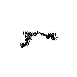 CN(CCCOCCCc1cccc2c1N(C)C(O)N2C1CCC(=O)NC1=O)C[C@H]1CC[C@H](n2cc(NC(=O)c3coc(-c4ccnc(NCC5CC5)c4)n3)c(C(C)(C)O)n2)CC1